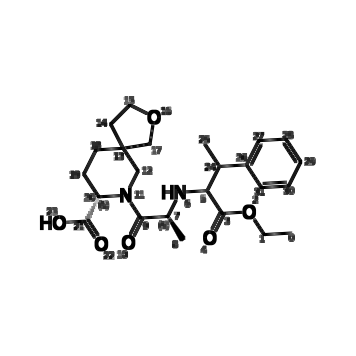 CCOC(=O)C(N[C@@H](C)C(=O)N1CC2(CCOC2)CC[C@H]1C(=O)O)C(C)c1ccccc1